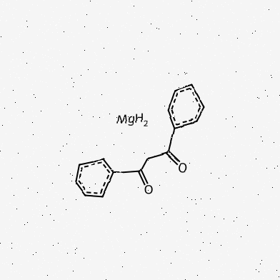 O=C(CC(=O)c1ccccc1)c1ccccc1.[MgH2]